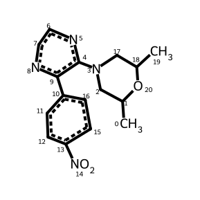 CC1CN(c2nccnc2-c2ccc([N+](=O)[O-])cc2)CC(C)O1